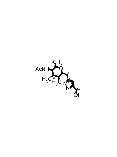 CC(=O)NC1C(C)OC(Cn2cc(CO)nn2)C(C)C1C